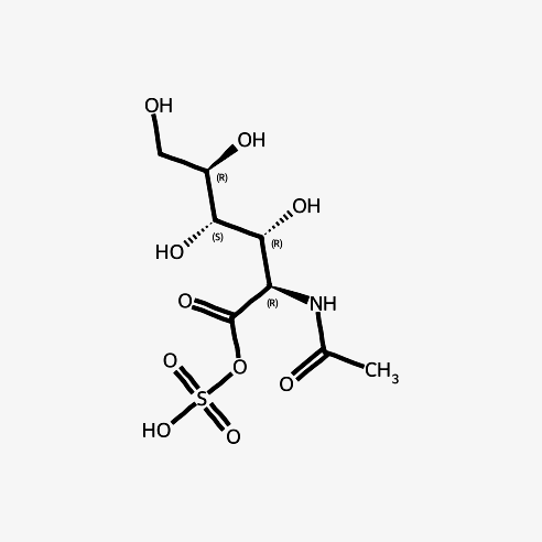 CC(=O)N[C@@H](C(=O)OS(=O)(=O)O)[C@@H](O)[C@H](O)[C@H](O)CO